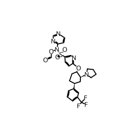 O=CON(c1ccncn1)S(=O)(=O)c1ccc(O[C@H]2CC[C@H](c3cccc(C(F)(F)F)c3)C[C@@H]2N2CCCC2)nc1